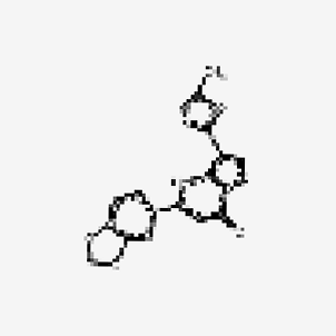 Cc1cnc(-c2cnn3c(=O)cc(-c4ccc5c(c4)OCO5)[nH]c23)o1